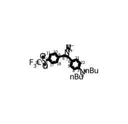 CCCCN(CCCC)c1ccc(C2=C(c3ccc(S(=O)(=O)C(F)(F)F)cc3)[N+]2=[N-])cc1